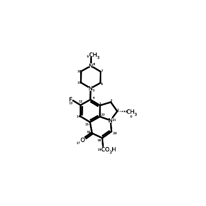 C[C@H]1Cc2c(N3CCN(C)CC3)c(F)cc3c(=O)c(C(=O)O)cn1c23